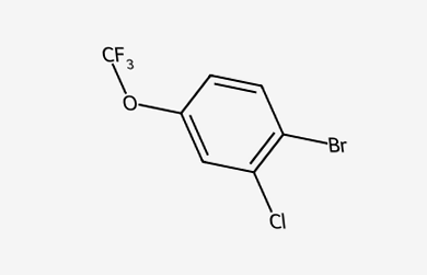 FC(F)(F)Oc1ccc(Br)c(Cl)c1